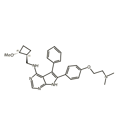 CO[C@@H]1CC[C@H]1CNc1ncnc2[nH]c(-c3ccc(OCCN(C)C)cc3)c(-c3ccccc3)c12